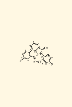 O=C1c2ccnc(-c3ccc(F)cc3OCC(F)(F)F)c2CN1c1ccc(F)cn1